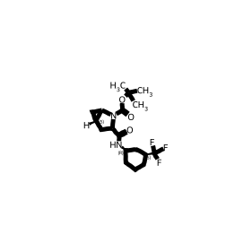 CC(C)(C)OC(=O)N1C(C(=O)N[C@@H]2CCC[C@H](C(F)(F)F)C2)C[C@@H]2CC21